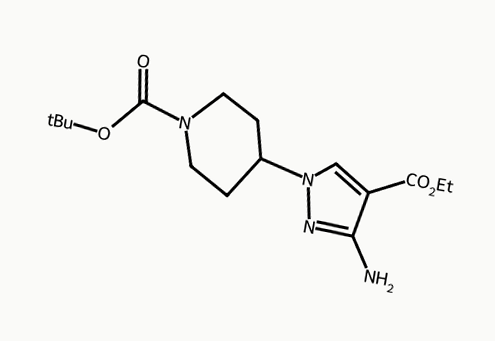 CCOC(=O)c1cn(C2CCN(C(=O)OC(C)(C)C)CC2)nc1N